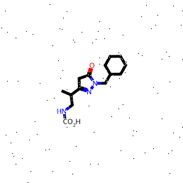 CC(CNC(=O)O)C1=NN(CC2CCCCC2)C(=O)C1